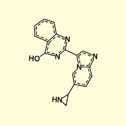 Oc1nc(-c2cnc3ccc(C4CN4)cn23)nc2ccccc12